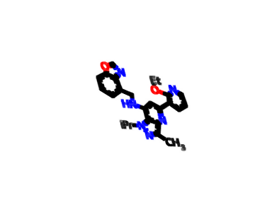 CCOc1ncccc1-c1cc(NCc2cccc3ocnc23)c2c(n1)c(C)nn2C(C)C